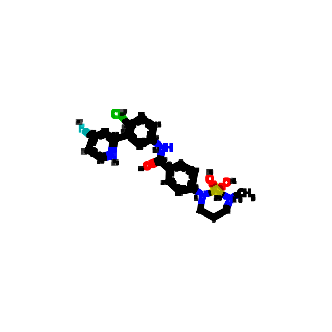 CN1CCCN(c2ccc(C(=O)Nc3ccc(Cl)c(-c4cc(F)ccn4)c3)cc2)S1(=O)=O